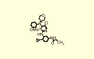 C=CC(=O)Nc1ccc(C2CC2)c(Nc2ncc(Cl)c(N(c3ccccc3OC)N3CCOCC3)n2)c1